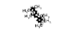 COC1=CC(c2ccc(OC)c(OC)c2OC)=N/C1=C/c1[nH]c(C)cc1C